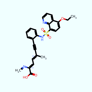 C=N/C(=C\C=C(/C)C#Cc1ccccc1NS(=O)(=O)c1ccc(OCC)c2cccnc12)C(=O)O